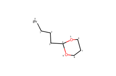 CC(C)CCCC1OCCCO1